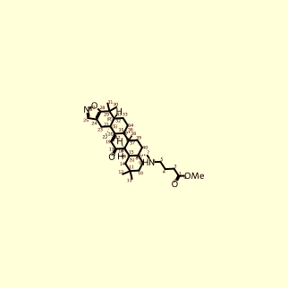 COC(=O)CCCNC[C@]12CCC(C)(C)C[C@H]1[C@H]1C(=O)C=C3[C@@]4(C)Cc5cnoc5C(C)(C)[C@@H]4CC[C@@]3(C)[C@]1(C)CC2